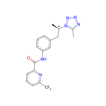 Cc1nnnn1[C@H](C)Cc1cccc(NC(=O)c2cccc(C(F)(F)F)n2)c1